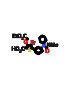 CCOC(=O)COc1c(C(=O)O)sc(-c2cccc(N(C(=O)NC)C3CCCCC3)c2)c1Br